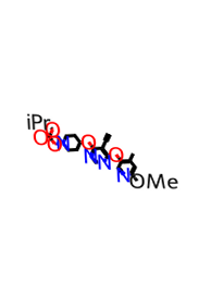 C#Cc1c(Oc2cnc(OC)cc2C)ncnc1OC1CCN(OC(=O)OC(C)C)CC1